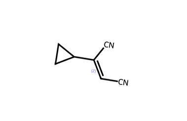 N#C/C=C(\C#N)C1CC1